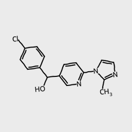 Cc1nccn1-c1ccc(C(O)c2ccc(Cl)cc2)cn1